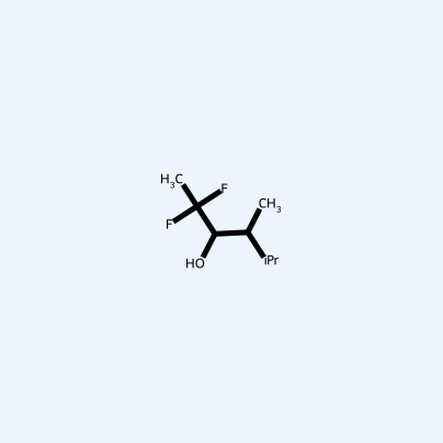 CC(C)C(C)C(O)C(C)(F)F